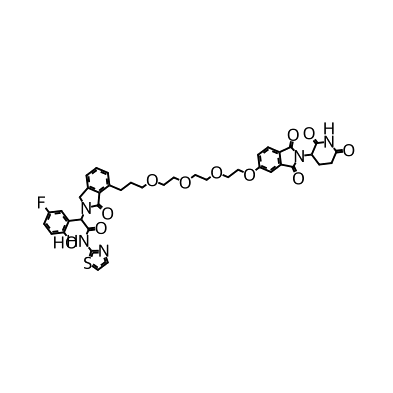 O=C1CCC(N2C(=O)c3ccc(OCCOCCOCCOCCCc4cccc5c4C(=O)N(C(C(=O)Nc4nccs4)c4cc(F)ccc4O)C5)cc3C2=O)C(=O)N1